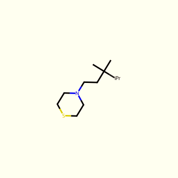 CC(C)C(C)(C)CCN1CCSCC1